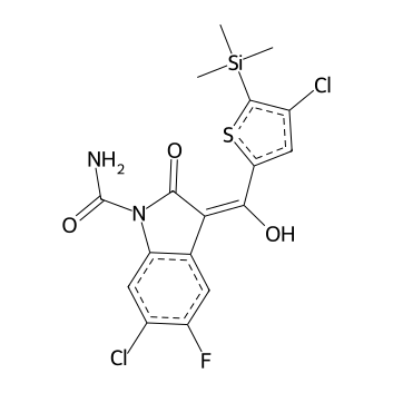 C[Si](C)(C)c1sc(C(O)=C2C(=O)N(C(N)=O)c3cc(Cl)c(F)cc32)cc1Cl